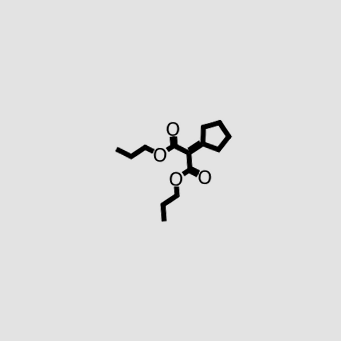 CCCOC(=O)C(C(=O)OCCC)=C1CCCC1